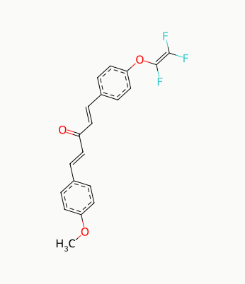 COc1ccc(C=CC(=O)C=Cc2ccc(OC(F)=C(F)F)cc2)cc1